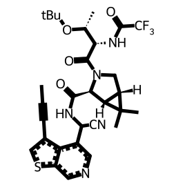 CC#Cc1csc2cncc(C(C#N)NC(=O)[C@@H]3[C@@H]4[C@H](CN3C(=O)[C@@H](NC(=O)C(F)(F)F)[C@@H](C)OC(C)(C)C)C4(C)C)c12